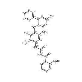 COc1ccccc1C(=O)NC(=O)Nc1cc(C)c(Oc2ccc(Cl)cc2-c2ccccc2)c(Cl)c1C